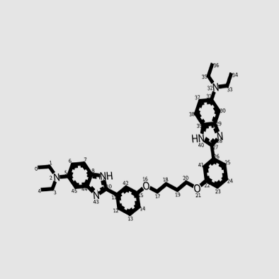 CCN(CC)c1ccc2[nH]c(-c3cccc(OCCCCOc4cccc(-c5nc6cc(N(CC)CC)ccc6[nH]5)c4)c3)nc2c1